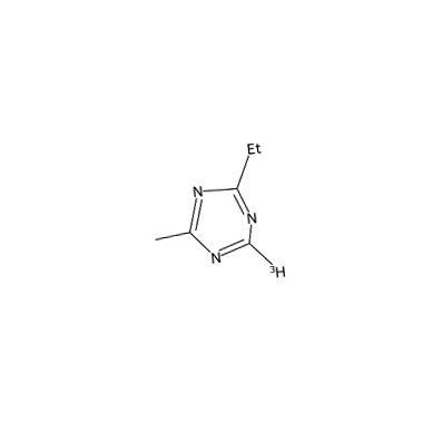 [3H]c1nc(C)nc(CC)n1